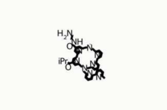 Cc1cccc(-c2cccc(CN3Cc4cccc(n4)-c4cccc(n4)CN(C)Cc4cc(C(=O)NCCN)cc(n4)-c4cc(C(=O)C(C)C)cc(n4)C3)n2)n1